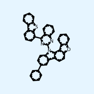 c1ccc(-c2ccc3c(c2)c2ccc4oc5ccccc5c4c2n3-c2nc(-c3cccc4c3sc3ccccc34)c3ccccc3n2)cc1